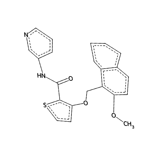 COc1ccc2ccccc2c1COc1ccsc1C(=O)Nc1cccnc1